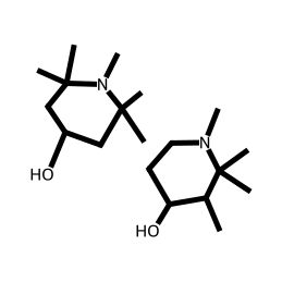 CC1C(O)CCN(C)C1(C)C.CN1C(C)(C)CC(O)CC1(C)C